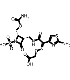 NC(=O)OC[C@@H]1[C@H](CNC(=O)/C(=N\OCC(=O)O)c2csc(N)n2)C(=O)N1S(=O)(=O)O